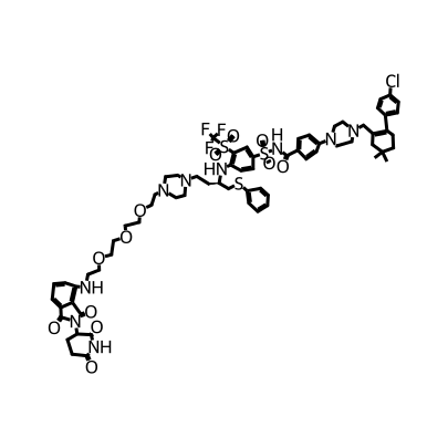 CC1(C)CCC(c2ccc(Cl)cc2)=C(CN2CCN(c3ccc(C(=O)NS(=O)(=O)c4ccc(N[C@H](CCN5CCN(CCOCCOCCOCCNc6cccc7c6C(=O)N(C6CCC(=O)NC6=O)C7=O)CC5)CSc5ccccc5)c(S(=O)(=O)C(F)(F)F)c4)cc3)CC2)C1